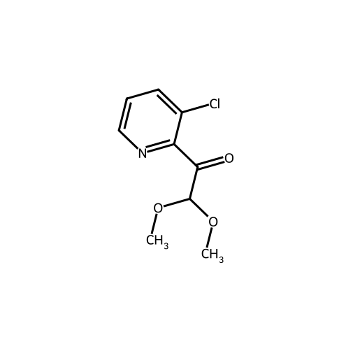 COC(OC)C(=O)c1ncccc1Cl